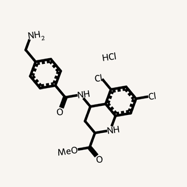 COC(=O)C1CC(NC(=O)c2ccc(CN)cc2)c2c(Cl)cc(Cl)cc2N1.Cl